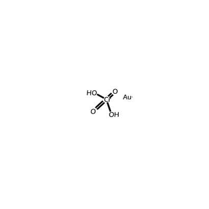 [Au].[O]=[Cr](=[O])([OH])[OH]